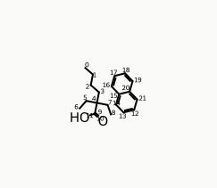 CCCCC(CC)(CC)C(=O)O.c1ccc2ccccc2c1